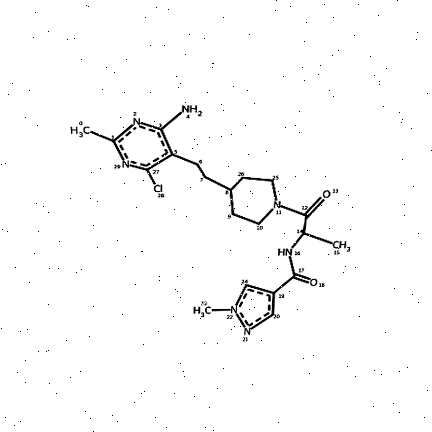 Cc1nc(N)c(CCC2CCN(C(=O)C(C)NC(=O)c3cnn(C)c3)CC2)c(Cl)n1